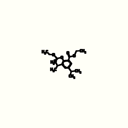 CCOC(=O)Oc1c(C(=O)OCC)cc(C(C)C)cc1C(C)C